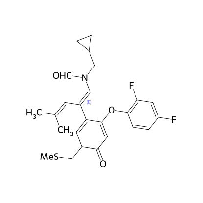 CSCC1C=C(/C(C=C(C)C)=C/N(C=O)CC2CC2)C(Oc2ccc(F)cc2F)=CC1=O